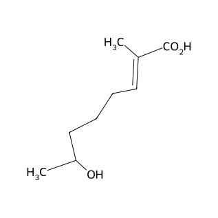 CC(=CCCCC(C)O)C(=O)O